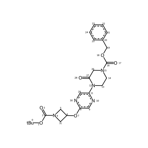 CC(C)(C)OC(=O)N1CC(Oc2cnc(N3CCN(C(=O)OCc4ccccc4)CC3=O)cn2)C1